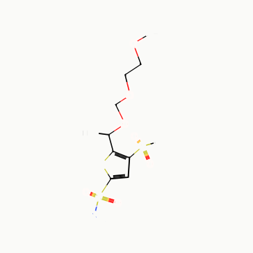 COCCOCOC(C)c1sc(S(N)(=O)=O)cc1S(C)(=O)=O